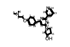 CN(C)CCOc1ccc(-c2cc(N3CC[C@H](O)C3)nc(-c3cccnc3)n2)cc1